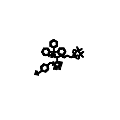 CC1(C)OB(CCCCC(NC(c2ccccc2)(c2ccccc2)c2ccccc2)c2nnnn2Cc2ccc(Br)cc2)OC1(C)C